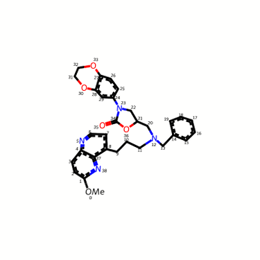 COc1ccc2nccc(CCCN(Cc3ccccc3)CC3CN(c4ccc5c(c4)OCCO5)C(=O)O3)c2n1